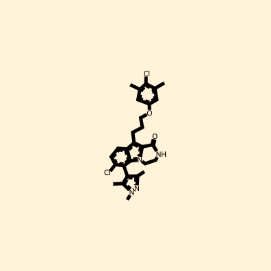 Cc1cc(OCCCc2c3n(c4c(-c5c(C)nn(C)c5C)c(Cl)ccc24)CCNC3=O)cc(C)c1Cl